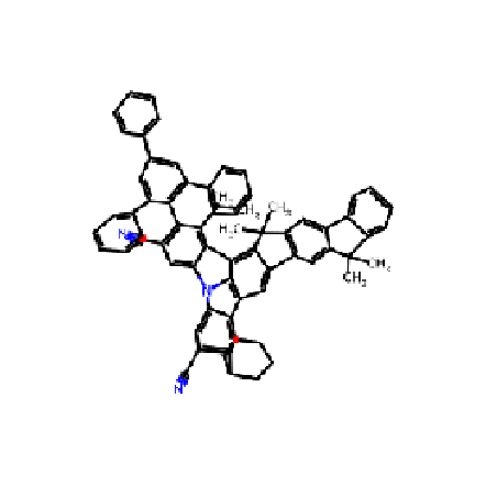 CC(C)c1c(-c2c(-c3ccccc3)cc(-c3ccccc3)cc2-c2ccccc2)c(C#N)cc2c1c1c3c(cc4c5c6c(c(C#N)cc5n2c41)C1CCC6CC1)-c1cc2c(cc1C3(C)C)-c1ccccc1C2(C)C